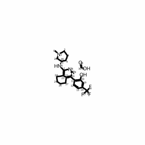 CN1CCC[C@@H](Nc2nnc(-c3ccc(C(F)(F)F)cc3O)c3c2CCCC3)C1.O=CO